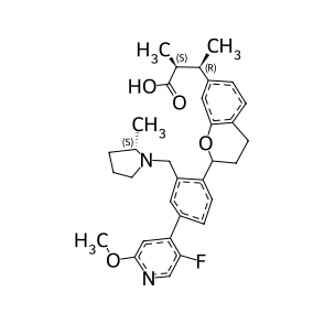 COc1cc(-c2ccc(C3CCc4ccc([C@H](C)[C@H](C)C(=O)O)cc4O3)c(CN3CCC[C@@H]3C)c2)c(F)cn1